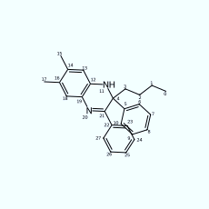 CCCCC1(c2ccccc2)Nc2cc(C)c(C)cc2N=C1c1ccccc1